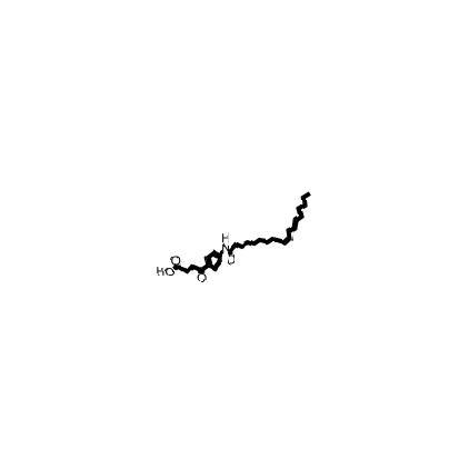 CCCCCCCC/C=C\CCCCCCCC(=O)Nc1ccc(C(=O)CCC(=O)O)cc1